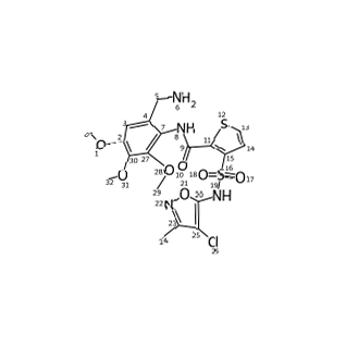 COc1cc(CN)c(NC(=O)c2sccc2S(=O)(=O)Nc2onc(C)c2Cl)c(OC)c1OC